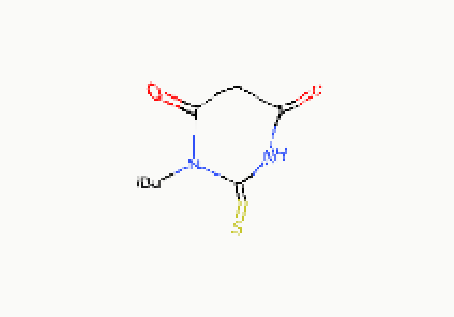 CCC(C)N1C(=O)CC(=O)NC1=S